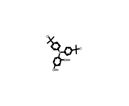 COc1ccc(N(c2ccc(C(C)(C)Cl)cc2)c2ccc(C(C)(C)Cl)cc2)c(OC)c1